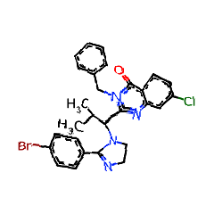 CC(C)C(c1nc2cc(Cl)ccc2c(=O)n1Cc1ccccc1)N1CCN=C1c1ccc(Br)cc1